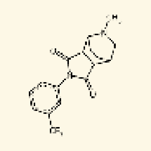 CN1CC2CCC1C1C(=O)N(c3cccc(C(F)(F)F)c3)C(=O)C21